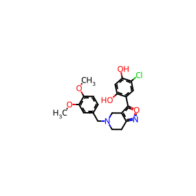 COc1ccc(CN2CCc3noc(-c4cc(Cl)c(O)cc4O)c3C2)cc1OC